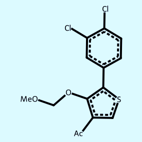 COCOc1c(C(C)=O)csc1-c1ccc(Cl)c(Cl)c1